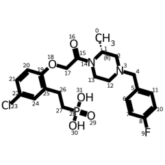 C[C@@H]1CN(Cc2ccc(F)cc2)CCN1C(=O)COc1ccc(Cl)cc1CCP(=O)(O)O